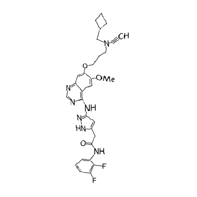 C#CN(CCCOc1cc2ncnc(Nc3cc(CC(=O)Nc4cccc(F)c4F)[nH]n3)c2cc1OC)CC1CCC1